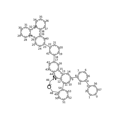 c1ccc(-c2cccc(-c3cc4c5c(c3)c3cc(-c6cccc(-c7ccc8c9ccccc9c9ccccc9c8c7)c6)ccc3n5COCc3ccccc3-4)c2)cc1